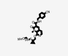 COCNSC1(COc2nccc3cc(C(=O)NCc4ccc(C#N)cc4)c(=O)n(C)c23)CC1